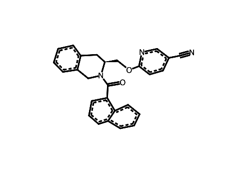 N#Cc1ccc(OC[C@@H]2Cc3ccccc3CN2C(=O)c2cccc3ccccc23)nc1